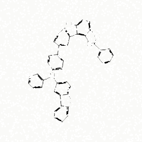 c1ccc(-c2nc3c(ccc4oc5ccc(-c6ccc(N(c7ccccc7)c7ccc8oc9ccccc9c8c7)cc6)cc5c43)o2)cc1